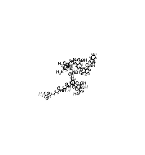 C=CS(=O)(=O)CCCCCC(=O)NCCC(=O)Nc1cc(COC(=O)N(C)CCOC23CC4(C)CC(C)(CC(Cn5ncc(-c6ccc(N7CCc8cccc(C(=O)Nc9nc%10ccccc%10s9)c8C7)nc6C(=O)O)c5C)(C4)C2)C3)ccc1O[C@@H]1O[C@H](C(=O)O)[C@@H](O)[C@H](O)[C@H]1O